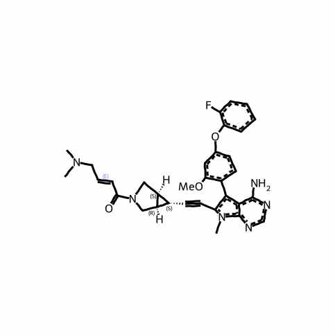 COc1cc(Oc2ccccc2F)ccc1-c1c(C#C[C@@H]2[C@H]3CN(C(=O)/C=C/CN(C)C)C[C@@H]23)n(C)c2ncnc(N)c12